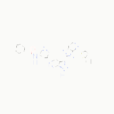 Cc1ccc(-c2nccc3[nH]c(-c4n[nH]c5cnc(-c6cncc(NC(=O)Cc7ccccc7)c6)cc45)nc23)s1